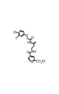 C=C(CCNC(=O)c1ccnc(C(=O)OCC)c1)NC(=O)COc1ccc(Cl)c(F)c1